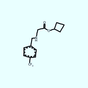 O=C(CNCc1ccc(C(F)(F)F)cc1)OC1CCC1